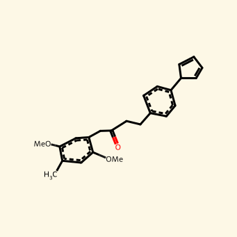 COc1cc(CC(=O)CCc2ccc(C3C=CC=C3)cc2)c(OC)cc1C